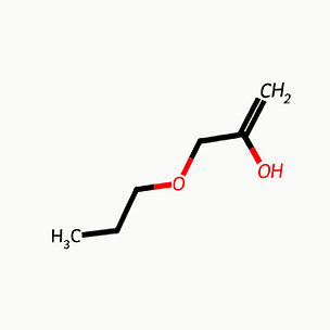 C=C(O)COCCC